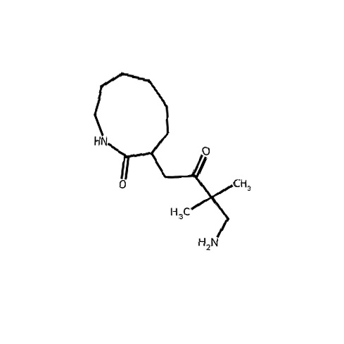 CC(C)(CN)C(=O)CC1CCCCCCNC1=O